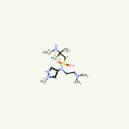 CN(C)CCN(c1cnn(C)c1)S(=O)(=O)CC(C)(C)NC(=O)O